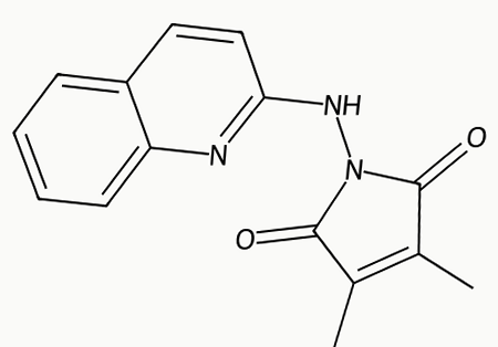 CC1=C(C)C(=O)N(Nc2ccc3ccccc3n2)C1=O